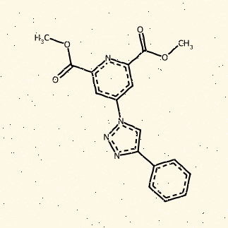 COC(=O)c1cc(-n2cc(-c3ccccc3)nn2)cc(C(=O)OC)n1